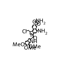 COc1cc2cc(C(=O)N3CC(CCl)c4c3cc(N)c3cc(S(N)(=O)=O)ccc43)[nH]c2c(OC)c1OC